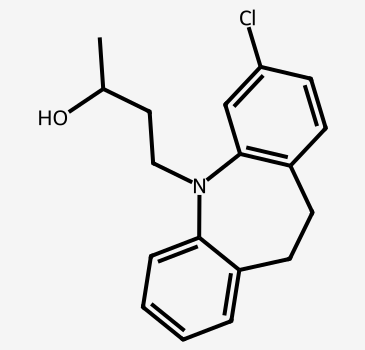 CC(O)CCN1c2ccccc2CCc2ccc(Cl)cc21